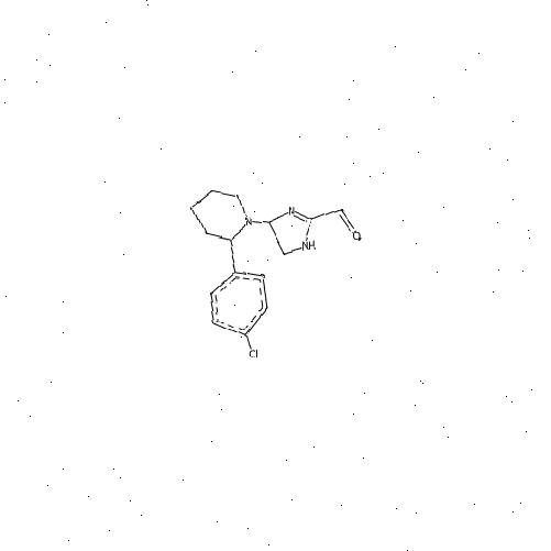 O=CC1=NC(N2CCCCC2c2ccc(Cl)cc2)CN1